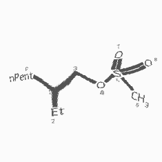 CCCCCC(CC)COS(C)(=O)=O